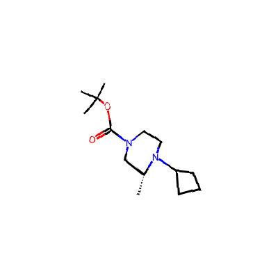 C[C@@H]1CN(C(=O)OC(C)(C)C)CCN1C1CCC1